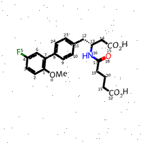 COc1ccc(F)cc1-c1ccc(C[C@H](CC(=O)O)NC(=O)CCCC(=O)O)cc1